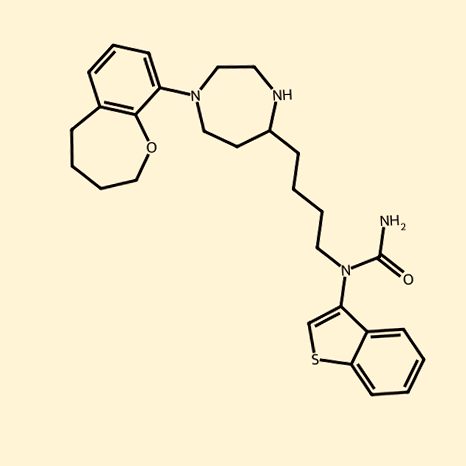 NC(=O)N(CCCCC1CCN(c2cccc3c2OCCCC3)CCN1)c1csc2ccccc12